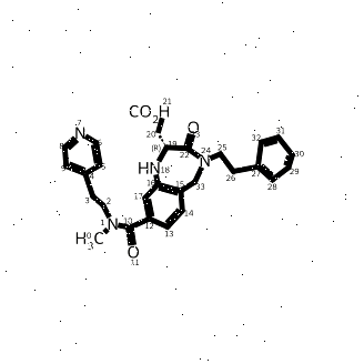 CN(CCc1ccncc1)C(=O)c1ccc2c(c1)N[C@H](CC(=O)O)C(=O)N(CCc1ccccc1)C2